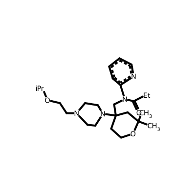 CCC(=O)N(CC1(N2CCN(CCOC(C)C)CC2)CCOC(C)(C)C1)c1ccccn1